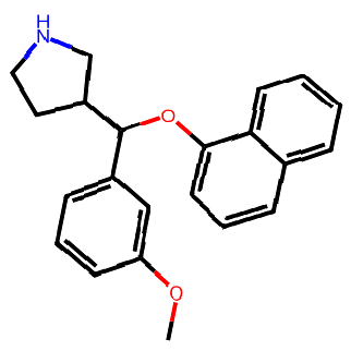 COc1cccc(C(Oc2cccc3ccccc23)C2CCNC2)c1